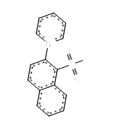 O=S(=O)([O-])c1c(-[n+]2ccccc2)ccc2ccccc12